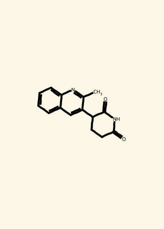 Cc1nc2ccccc2cc1C1CCC(=O)NC1=O